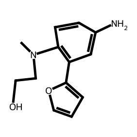 CN(CCO)c1ccc(N)cc1-c1ccco1